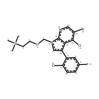 C[Si](C)(C)CCOCn1cc(-c2cc(F)ccc2Cl)c2c(Cl)c(Br)cnc21